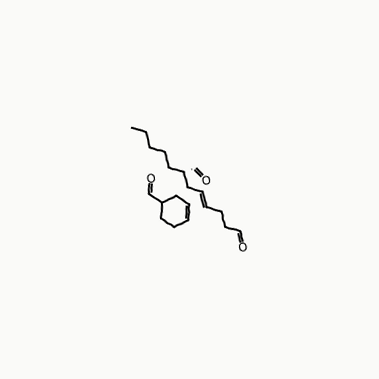 CCCCCCCC=CCCC=O.O=CC1CC=CCC1.[CH]=O